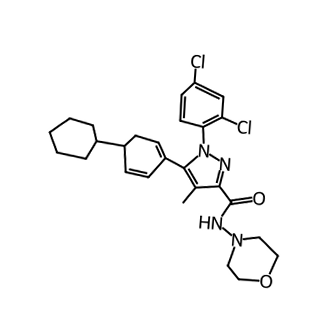 Cc1c(C(=O)NN2CCOCC2)nn(-c2ccc(Cl)cc2Cl)c1C1=CCC(C2CCCCC2)C=C1